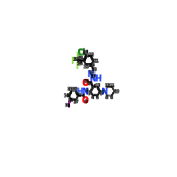 O=C(Nc1ccc(N2CCCCC2)cc1C(=O)N/N=C/c1ccc(Cl)c(C(F)(F)F)c1)c1cccc(I)c1